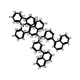 c1cc(-c2cccc3ccccc23)cc(N(c2cccc(-c3cccc4ccccc34)c2)c2cc(-c3ccccc3-n3c4ccccc4c4ccccc43)cc3ccccc23)c1